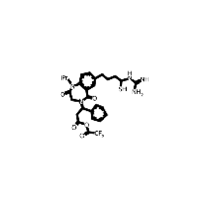 CC(C)N1C(=O)CN(C(CC(=O)OC(=O)C(F)(F)F)c2ccccc2)C(=O)c2cc(CCCC(S)NC(=N)N)ccc21